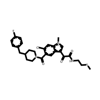 CSCCNC(=O)C(=O)c1cn(C)c2cc(Cl)c(C(=O)N3CCC(Cc4ccc(F)cc4)CC3)cc12